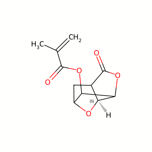 C=C(C)C(=O)OC1C2CC3C(=O)OC1[C@H]3O2